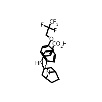 O=C(O)c1ccc(CN2C3CCC2CC(Nc2ccc(OCC(F)(F)C(F)(F)F)cc2)C3)cc1